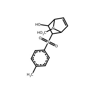 Cc1ccc(S(=O)(=O)C2C(O)C3C=CC2N3C(=O)O)cc1